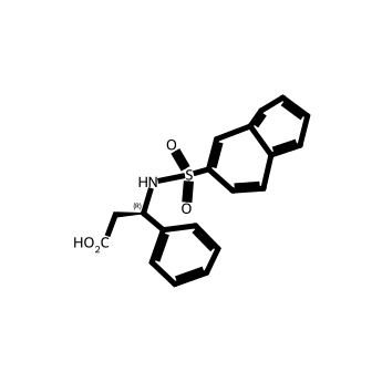 O=C(O)C[C@@H](NS(=O)(=O)c1ccc2ccccc2c1)c1ccccc1